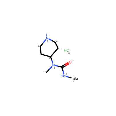 CCCCNC(=O)N(C)C1CCNCC1.Cl